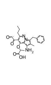 CCCc1nn2c(Cc3ccccc3)c(C)c(N)c2c(OC(C)C(=O)O)c1C(=O)[C]=O